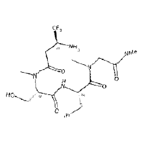 CNC(=O)CN(C)C(=O)[C@H](CC(C)C)NC(=O)[C@H](CO)N(C)C(=O)C[C@H](N)C(F)(F)F